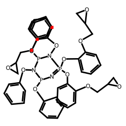 c1ccc(ON2P(Oc3ccccc3)N=P(Oc3ccccc3OCC3CO3)(Oc3ccccc3OCC3CO3)N(Oc3ccccc3OCC3CO3)P2Oc2ccccc2)cc1